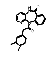 CC1C=C(CC(=O)N2c3ccccc3C(=O)Nc3cccnc32)CCN1C